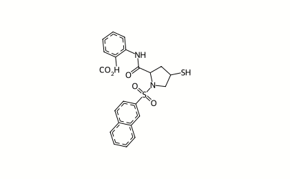 O=C(O)c1ccccc1NC(=O)C1CC(S)CN1S(=O)(=O)c1ccc2ccccc2c1